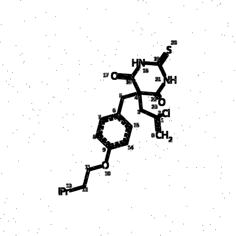 C=C(Cl)CC1(Cc2ccc(OCCC(C)C)cc2)C(=O)NC(=S)NC1=O